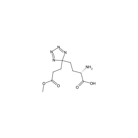 COC(=O)CCC1(CC[C@H](N)C(=O)O)N=NN=N1